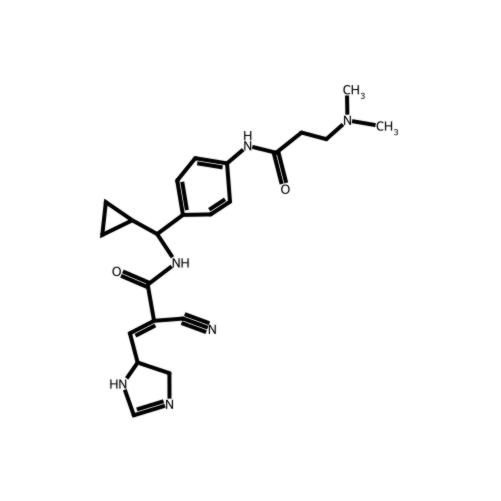 CN(C)CCC(=O)Nc1ccc(C(NC(=O)/C(C#N)=C/C2CN=CN2)C2CC2)cc1